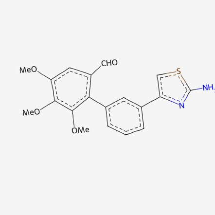 COc1cc(C=O)c(-c2cccc(-c3csc(N)n3)c2)c(OC)c1OC